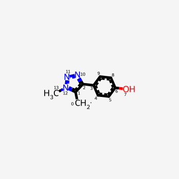 [CH2]c1c(-c2ccc(O)cc2)nnn1C